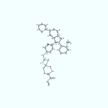 C=CC(=O)N1CCC2(CC1)CN(Cc1ccc(-n3c(-c4cccnc4N)nc4ccc(-c5ccccc5)nc43)cc1)C2